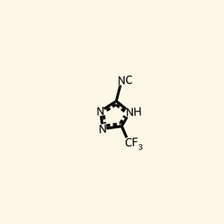 [C-]#[N+]c1nnc(C(F)(F)F)[nH]1